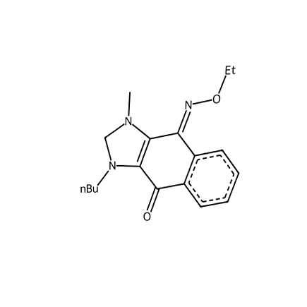 CCCCN1CN(C)C2=C1C(=O)c1ccccc1C2=NOCC